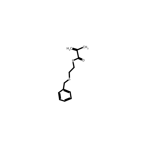 C=C(C)C(=O)SCCSCc1ccccc1